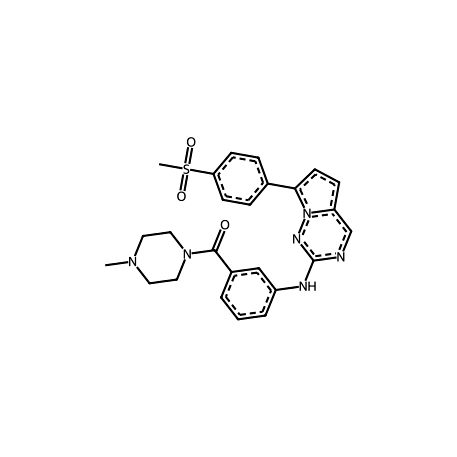 CN1CCN(C(=O)c2cccc(Nc3ncc4ccc(-c5ccc(S(C)(=O)=O)cc5)n4n3)c2)CC1